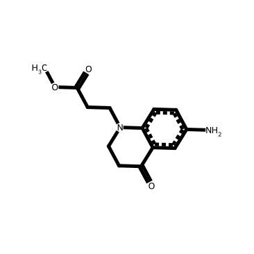 COC(=O)CCN1CCC(=O)c2cc(N)ccc21